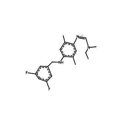 CCN(C)/C=N\c1cc(C)c(NCc2cc(F)cc(F)c2)cc1C